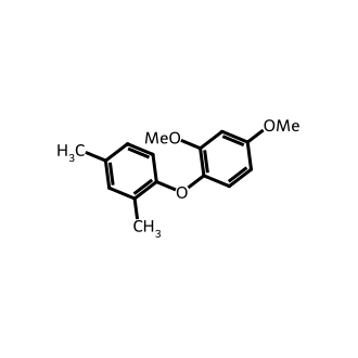 COc1ccc(Oc2ccc(C)cc2C)c(OC)c1